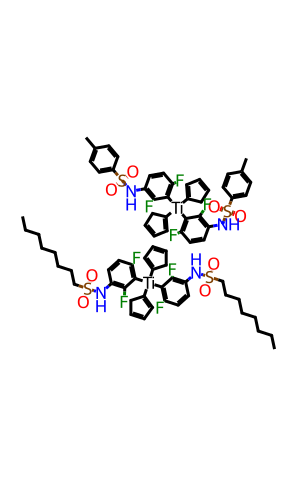 CCCCCCCCS(=O)(=O)Nc1ccc(F)[c]([Ti]([C]2=CC=CC2)([C]2=CC=CC2)[c]2c(F)ccc(NS(=O)(=O)CCCCCCCC)c2F)c1F.Cc1ccc(S(=O)(=O)Nc2ccc(F)[c]([Ti]([C]3=CC=CC3)([C]3=CC=CC3)[c]3c(F)ccc(NS(=O)(=O)c4ccc(C)cc4)c3F)c2F)cc1